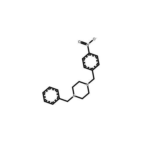 O=[N+]([O-])c1ccc(CN2CCN(Cc3ccccc3)CC2)cc1